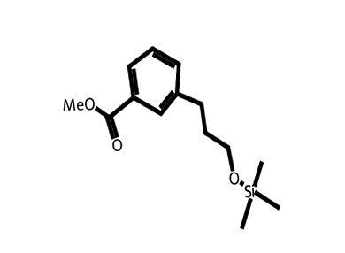 COC(=O)c1cccc(CCCO[Si](C)(C)C)c1